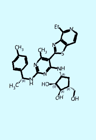 CCc1nccc2sc(-c3c(C)nc(N[C@H](C)c4ccc(C)cc4)nc3N[C@@H]3C[C@H](CO)[C@@H](O)[C@H]3O)nc12